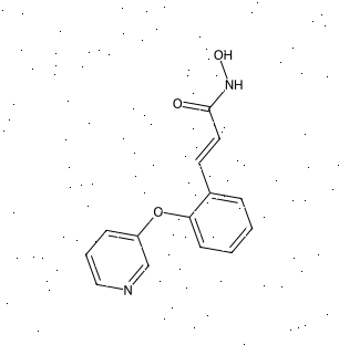 O=C(C=Cc1ccccc1Oc1cccnc1)NO